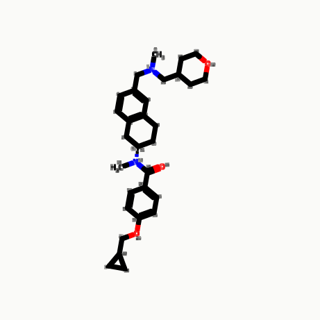 CN(Cc1ccc2c(c1)CC[C@H](N(C)C(=O)c1ccc(OCC3CC3)cc1)C2)CC1CCOCC1